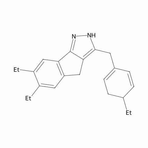 CCc1cc2c(cc1CC)-c1n[nH]c(CC3=CCC(CC)C=C3)c1C2